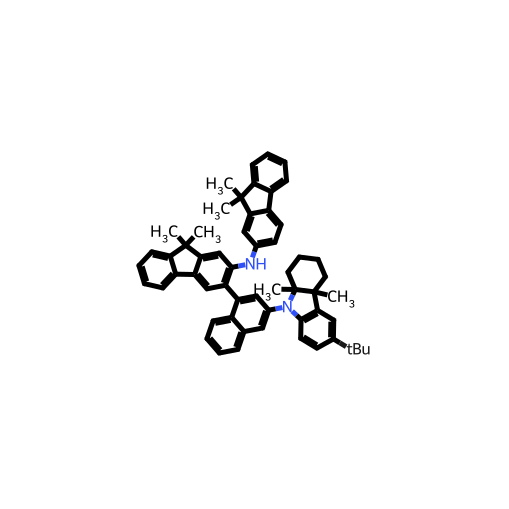 CC(C)(C)c1ccc2c(c1)C1(C)CCCCC1(C)N2c1cc(-c2cc3c(cc2Nc2ccc4c(c2)C(C)(C)c2ccccc2-4)C(C)(C)c2ccccc2-3)c2ccccc2c1